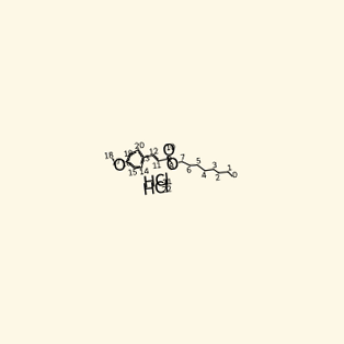 CCCCCCCCOC(=O)C=Cc1ccc(OC)cc1.Cl.Cl